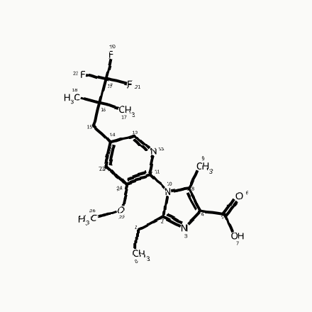 CCc1nc(C(=O)O)c(C)n1-c1ncc(CC(C)(C)C(F)(F)F)cc1OC